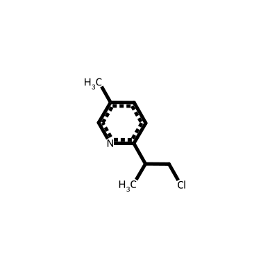 Cc1ccc(C(C)CCl)nc1